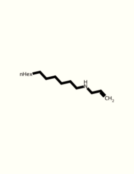 C=CCNCCCCCCCCCCCC